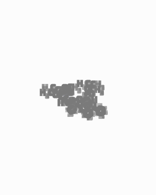 CC(C)(C)OC(=O)C[C@@H](/C=C/S(C)(=O)=O)NC(=O)[C@H]1CCCN1C(=O)C(Cc1ccccc1)NC(=O)[C@H](CC(=O)OC(C)(C)C)NC(=O)OCc1ccccc1